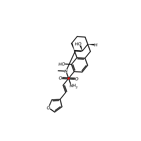 CN(C(=O)/C=C/c1ccoc1)C1CC[C@@]2(O)[C@@H]3CCC[C@@]2(C1)c1c(ccc(C(N)=O)c1O)C3